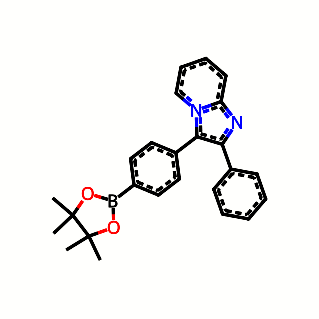 CC1(C)OB(c2ccc(-c3c(-c4ccccc4)nc4ccccn34)cc2)OC1(C)C